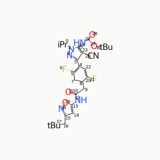 CC(C)n1nc(C2=C(F)CC(CC(=O)Nc3cc(CC(C)(C)C)no3)C(F)=C2)c(C#N)c1NC(=O)OC(C)(C)C